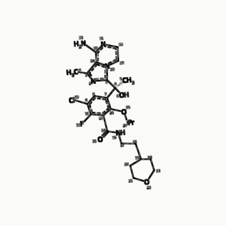 Cc1nc([C@@](C)(O)c2cc(Cl)c(F)c(C(=O)NCCC3CCOCC3)c2OC(C)C)n2ccnc(N)c12